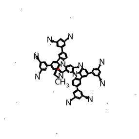 Cc1cccc(-c2cc(-n3c4ccc(-c5cc(C#N)cc(C#N)c5)cc4c4cc(-c5cc(C#N)cc(C#N)c5)ccc43)c(C#N)cc2-n2c3ccc(-c4cc(C#N)cc(C#N)c4)cc3c3cc(-c4cc(C#N)cc(C#N)c4)ccc32)n1